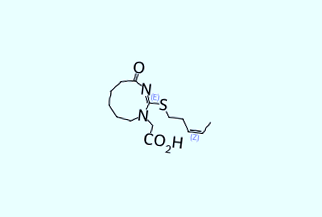 C/C=C\CCS/C1=N/C(=O)CCCCCN1CC(=O)O